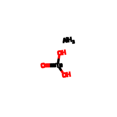 O=[Te](O)O.[AlH3]